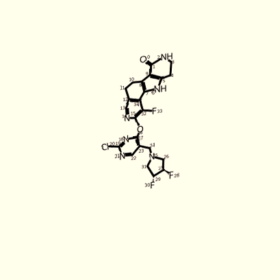 O=C1NCCc2[nH]c3c(c21)CCc1cnc(Oc2nc(Cl)ncc2CN2C[C@@H](F)[C@H](F)C2)c(F)c1-3